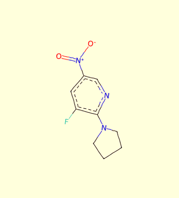 O=[N+]([O-])c1cnc(N2CCCC2)c(F)c1